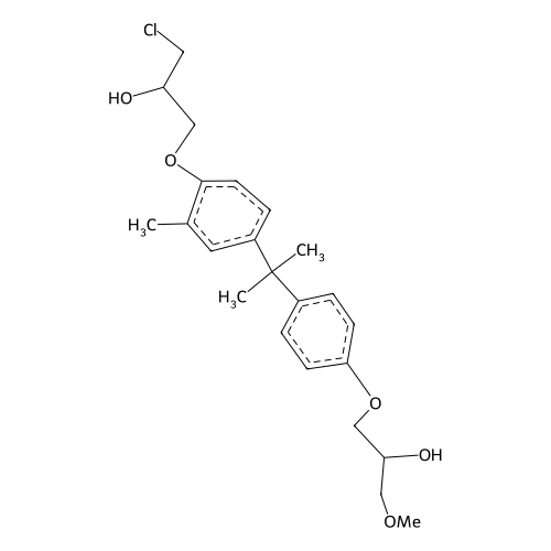 COCC(O)COc1ccc(C(C)(C)c2ccc(OCC(O)CCl)c(C)c2)cc1